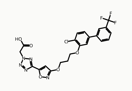 O=C(O)Cn1nnc(-c2cc(OCCCOc3cc(-c4cccc(C(F)(F)F)c4)ccc3Cl)no2)n1